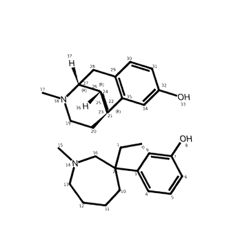 CCC1(c2cccc(O)c2)CCCCN(C)C1.CN1CC[C@]23CCCC[C@H]2[C@H]1Cc1ccc(O)cc13